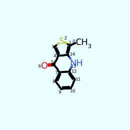 Cc1scc2c(=O)c3ccccc3[nH]c12